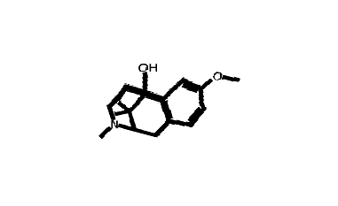 COc1ccc2c(c1)C1(O)CCN(C)C(C2)C1(C)C